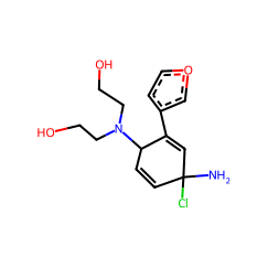 NC1(Cl)C=CC(N(CCO)CCO)C(c2ccoc2)=C1